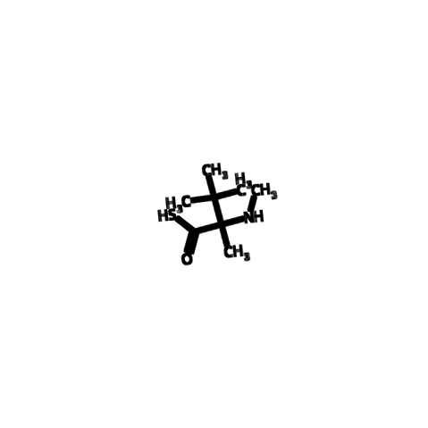 CNC(C)(C(=O)S)C(C)(C)C